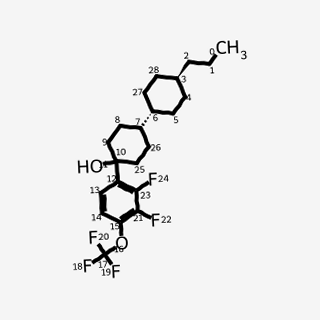 CCC[C@H]1CC[C@H](C2CCC(O)(c3ccc(OC(F)(F)F)c(F)c3F)CC2)CC1